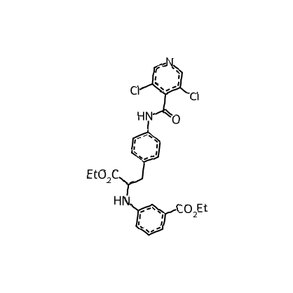 CCOC(=O)c1cccc(NC(Cc2ccc(NC(=O)c3c(Cl)cncc3Cl)cc2)C(=O)OCC)c1